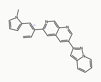 C=C/C(=C\c1cccn1C)c1cc2cc(-c3cc4ccccn4n3)cnc2cn1